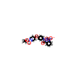 CC(C)(C)OC(=O)N1CCC(Oc2ccc(NC(=O)c3ccccc3[N+](=O)[O-])cc2)CC1